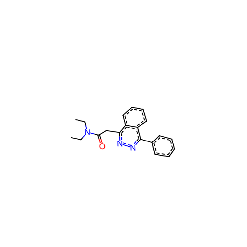 CCN(CC)C(=O)Cc1nnc(-c2ccccc2)c2ccccc12